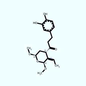 C/C=C1\[C@@H](OC)O[C@@H](OC)C[C@@H]1C(=O)CCc1ccc(O)c(O)c1